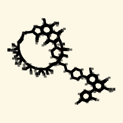 CO[C@H]1/C=C/O[C@@]2(C)Oc3c(C)c(O)c4c(c3C2=O)C(=O)C(N2CCC(CCCC3CCN(c5nc6c(cc5F)c(=O)c(C(=O)O)cn6-c5ccc(F)cc5F)CC3)CC2)=C(NC(=O)/C(C)=C\C=C\[C@H](C)[C@H](O)C[C@@H](O)C[C@H](OC(C)=O)[C@@H]1C)C4=O